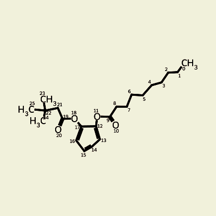 CCCCCCCCCC(=O)Oc1ccccc1OC(=O)CC(C)(C)C